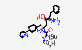 CN(C(=O)O)[C@H](C(=O)N[C@H](Cc1ccc(-c2ccccn2)cc1)C[C@H](O)[C@@H](N)Cc1ccccc1)C(C)(C)C